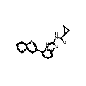 O=C(Nc1nc2cccc(-c3cnc4ccccc4c3)n2n1)C1CC1